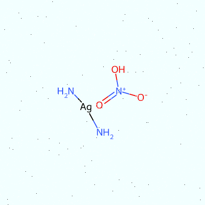 O=[N+]([O-])O.[NH2][Ag][NH2]